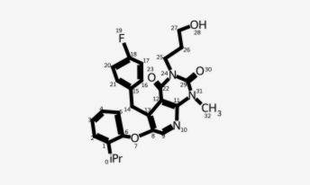 CC(C)c1ccccc1Oc1cnc2c(c1Cc1ccc(F)cc1)c(=O)n(CCCO)c(=O)n2C